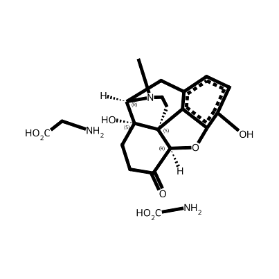 CN1CC[C@]23c4c5ccc(O)c4O[C@H]2C(=O)CC[C@@]3(O)[C@H]1C5.NC(=O)O.NCC(=O)O